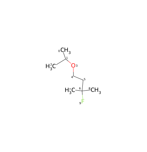 CC(C)OCCC(C)(C)F